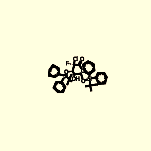 CC(C)(C)[Si](OC1OC(=O)[C@](F)(Cl)[C@H](O[Si](c2ccccc2)(c2ccccc2)C(C)(C)C)[C@@H]1O)(c1ccccc1)c1ccccc1